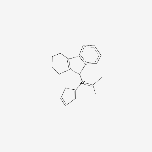 C[C](C)=[Zr]([C]1=CC=CC1)[CH]1C2=C(CCCC2)c2ccccc21